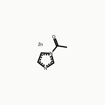 CC(=O)n1ccnc1.[Zn]